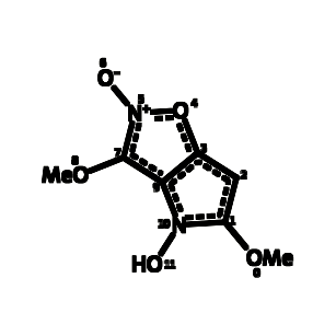 COc1cc2o[n+]([O-])c(OC)c2n1O